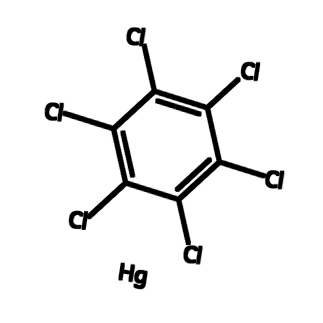 Clc1c(Cl)c(Cl)c(Cl)c(Cl)c1Cl.[Hg]